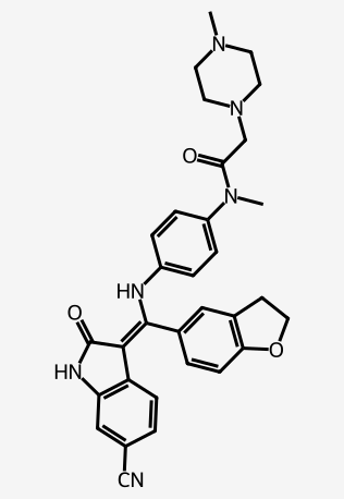 CN1CCN(CC(=O)N(C)c2ccc(N/C(=C3\C(=O)Nc4cc(C#N)ccc43)c3ccc4c(c3)CCO4)cc2)CC1